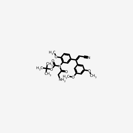 COc1cc(OC)cc(/C(=C\C#N)c2ccc(OC)c(N(C(=O)CN)C(=O)OC(C)(C)C)c2)c1